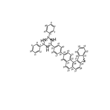 c1ccc(C2NC(c3ccccc3)NC(c3ccc(-c4ccc5c(ccc6ccc7sc8ccccc8c7c65)c4)cc3)N2)cc1